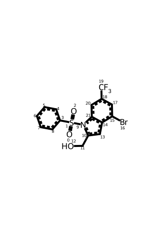 O=S(=O)(c1ccccc1)n1c(CO)cc2c(Br)cc(C(F)(F)F)cc21